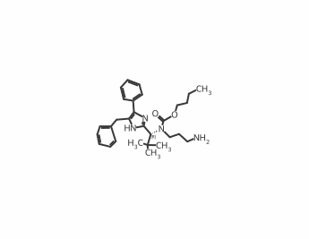 CCCCOC(=O)N(CCCN)[C@@H](c1nc(-c2ccccc2)c(Cc2ccccc2)[nH]1)C(C)(C)C